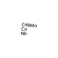 [Co].[Cr].[Mo].[Nb].[Ni]